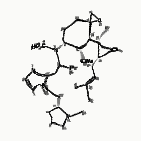 CO[C@@H]1[C@H](N(C(=O)O)C(c2nccn2C[C@H]2CCCN2C)C(C)C)CC[C@]2(CO2)[C@H]1[C@@]1(C)O[C@@H]1CC=C(C)C